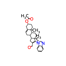 CC(=O)O[C@H]1CC[C@@]2(C)C(=CCC3C2CC[C@]2(C)C(n4cnc5ccccc54)=C(C=O)CC32)C1